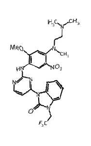 COc1cc(N(C)CCN(C)C)c([N+](=O)[O-])cc1Nc1nccc(-n2c(=O)n(CC(F)(F)F)c3ccccc32)n1